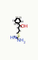 N=C(N)SCCCC(O)c1ccccc1